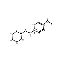 COc1cc[n+](OCC2CCCCC2)cc1